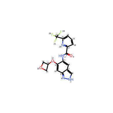 O=C(Nc1cc2c[nH]nc2cc1OC1COC1)c1cccc(C(F)(F)F)n1